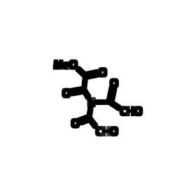 COC(=O)C(=O)N(C(=O)C=O)C(=O)C=O